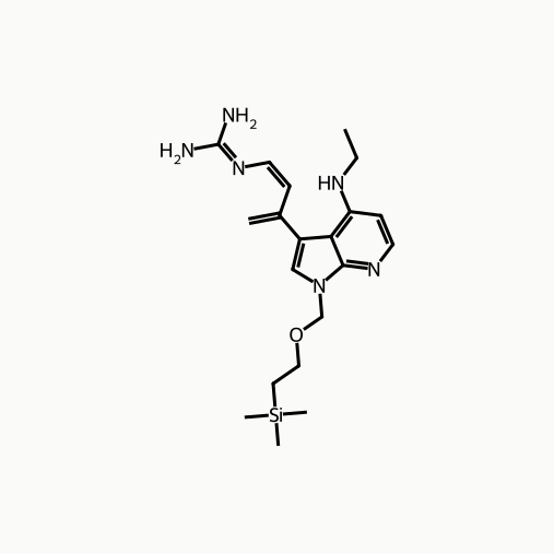 C=C(/C=C\N=C(N)N)c1cn(COCC[Si](C)(C)C)c2nccc(NCC)c12